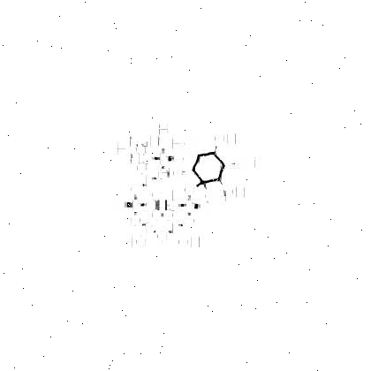 O.O=P(O)(O)OP(=O)(O)OP(=O)(O)OP(=O)(O)OP(=O)(O)OP(=O)(O)O[C@]1(O)[C@H](O)[C@H](O)[C@@H](O)[C@H](O)[C@H]1O.[NaH]